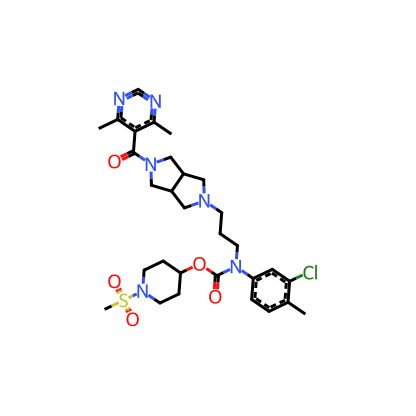 Cc1ccc(N(CCCN2CC3CN(C(=O)c4c(C)ncnc4C)CC3C2)C(=O)OC2CCN(S(C)(=O)=O)CC2)cc1Cl